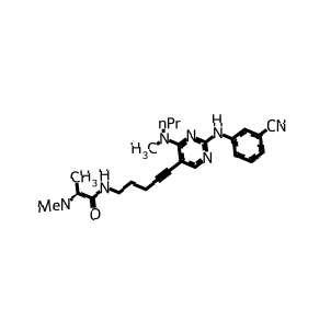 CCCN(C)c1nc(Nc2cccc(C#N)c2)ncc1C#CCCCNC(=O)[C@H](C)NC